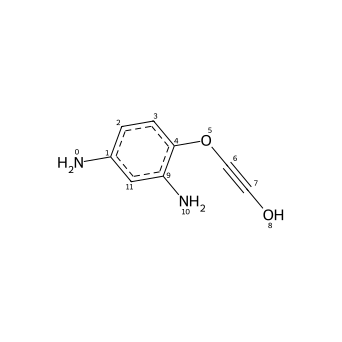 Nc1ccc(OC#CO)c(N)c1